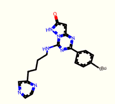 CC(C)(C)c1ccc(-c2nc(NCCCCc3cnccn3)n3[nH]c(=O)cc3n2)cc1